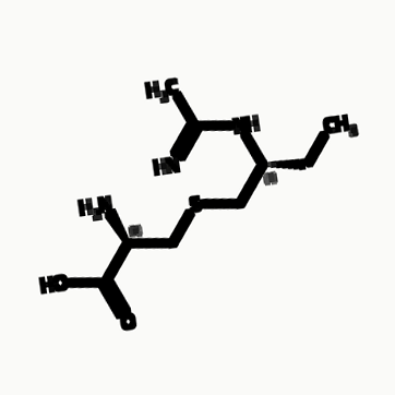 CC[C@H](CSC[C@H](N)C(=O)O)NC(C)=N